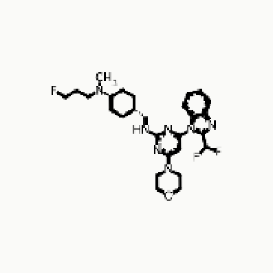 CN(CCCF)[C@H]1CC[C@H](CNc2nc(N3CCOCC3)cc(-n3c(C(F)F)nc4ccccc43)n2)CC1